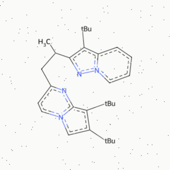 CC(Cc1ccn2cc(C(C)(C)C)c(C(C)(C)C)c2n1)c1nn2ccccc2c1C(C)(C)C